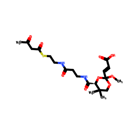 COC1(/C=C/C(=O)O)OCC(C)(C)[C@H](C(=O)NCCC(=O)NCCSC(=O)CC(C)=O)O1